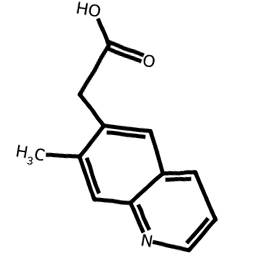 Cc1cc2ncccc2cc1CC(=O)O